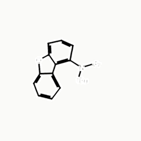 CC(C)N(c1cccc2oc3ccccc3c12)C(C)(C)C